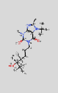 [2H]C([2H])([2H])n1c(C)nc2c1c(=O)n(CCCC([2H])([2H])[C@@]([2H])(O)C([2H])([2H])[2H])c(=O)n2C